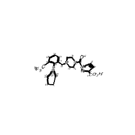 O=C(O)c1ccn(C(=O)N2CCN(Cc3cccc(C(F)(F)F)c3N3CCCC3)CC2)n1